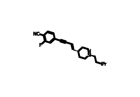 CC(C)CC[Si@H]1CC[C@H](C=CC#Cc2ccc(C#N)c(F)c2)CC1